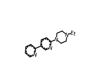 CCN1CCN(c2ccc(-c3ccccn3)cn2)CC1